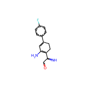 N=C(C=O)C1=C(N)C=C(c2ccc(F)cc2)CC1